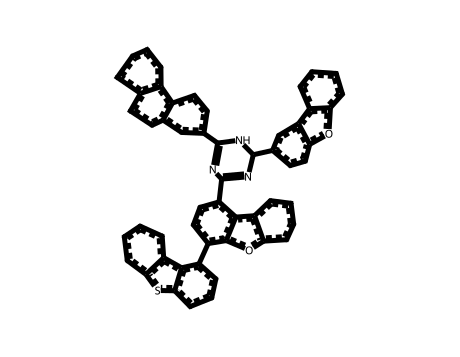 c1ccc2c(c1)ccc1cc(C3=NC(c4ccc(-c5cccc6sc7ccccc7c56)c5oc6ccccc6c45)=NC(c4ccc5oc6ccccc6c5c4)N3)ccc12